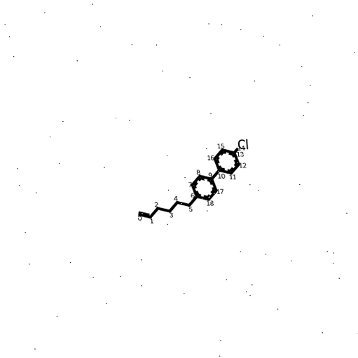 C=CCCCCc1ccc(-c2ccc(Cl)cc2)cc1